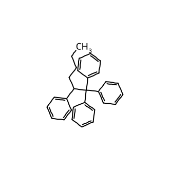 CCCCC(c1ccccc1)C(c1ccccc1)(c1ccccc1)c1ccccc1